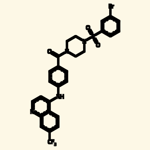 O=C(c1ccc(Nc2ccnc3cc(C(F)(F)F)ccc23)cc1)N1CCN(S(=O)(=O)c2cccc(Br)c2)CC1